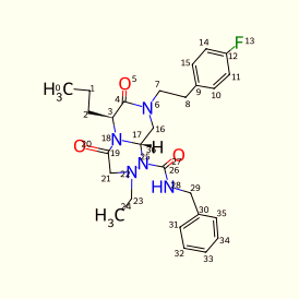 CCC[C@H]1C(=O)N(CCc2ccc(F)cc2)C[C@H]2N1C(=O)CN(CC)N2C(=O)NCc1ccccc1